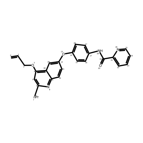 C=CCOc1cc(CCC)nc2ccc(Oc3ccc(NC(=O)c4ccccn4)cc3)cc12